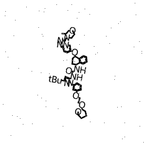 CC1COCCN1c1nnc2ccc(O[C@@H]3CC[C@H](NC(=O)Nc4cc(C(C)(C)C)nn4-c4cccc(OCCOC5CCCCO5)c4)c4ccccc43)cn12